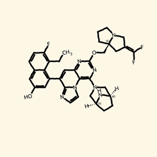 CCc1c(F)ccc2cc(O)cc(-c3cc4nc(OC[C@@]56CCCN5CC(=C(F)F)C6)nc(N5C[C@H]6CC[C@@H](C5)N6)c4n4ccnc34)c12